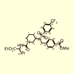 CCOC(=O)C(NC(=O)N1CCCC(N(Cc2ccc(C(=O)OC)cc2)S(=O)(=O)c2ccc(C(F)(F)F)cc2)C1)C(C)C